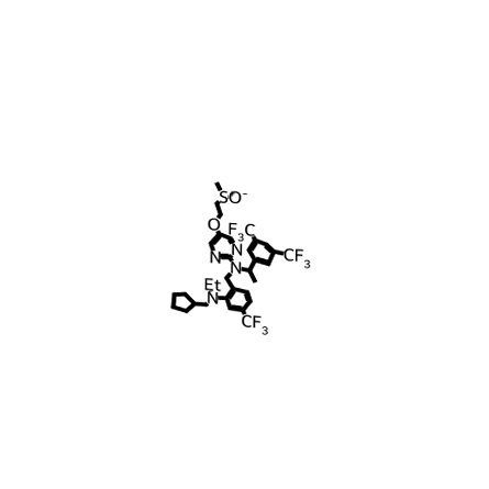 CCN(CC1CCCC1)c1cc(C(F)(F)F)ccc1CN(c1ncc(OCC[S+](C)[O-])cn1)C(C)c1cc(C(F)(F)F)cc(C(F)(F)F)c1